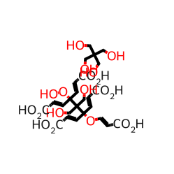 O=C(O)C=COC(C=CC(=O)O)(C=CC(=O)O)C(CO)(CO)C(C=CC(=O)O)(C=CC(=O)O)OO.OCC(CO)(CO)CO